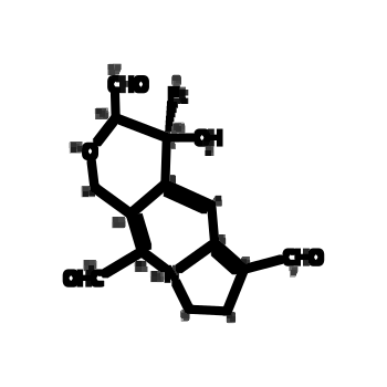 CC[C@]1(O)C2=CC3=C(C=O)CCN3C(C=O)=C2COC1C=O